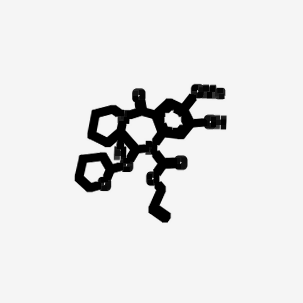 C=CCOC(=O)N1c2cc(O)c(OC)cc2C(=O)N2CCCC[C@H]2C1OC1CCCCO1